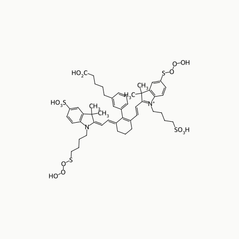 CC1(C)C(/C=C/C2=C(c3cccc(CCCCC(=O)O)c3)C(=C/C=C3/N(CCCCSOOO)c4ccc(S(=O)(=O)O)cc4C3(C)C)/CCC2)=[N+](CCCCS(=O)(=O)O)c2ccc(SOOO)cc21